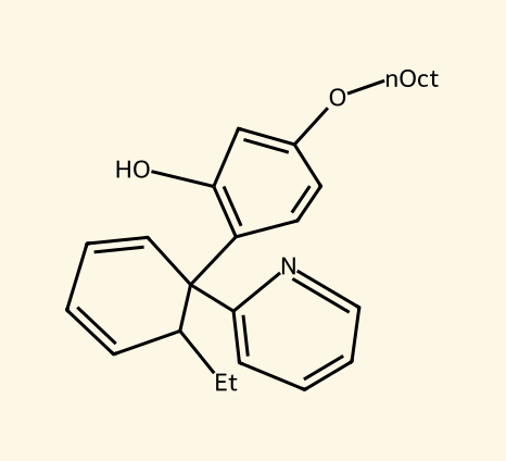 CCCCCCCCOc1ccc(C2(c3ccccn3)C=CC=CC2CC)c(O)c1